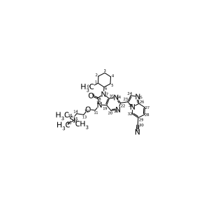 CC1CCCCC1n1c(=O)n(COCC[Si](C)(C)C)c2cnc(-c3cnc4ccc(C#N)cn34)nc21